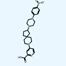 O=C(O)c1cc(N2CCC3(CCC(N4CCN(c5ccc([N+](=O)[O-])cc5)CC4)C3)CC2)ccn1